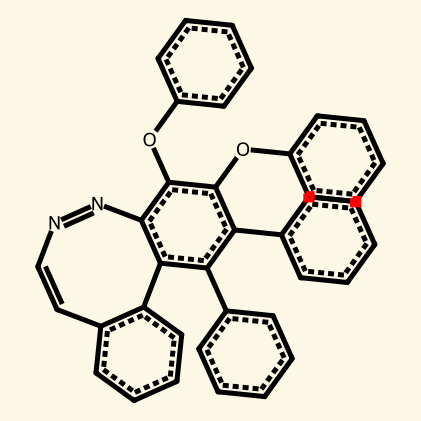 C1=Cc2ccccc2-c2c(c(Oc3ccccc3)c(Oc3ccccc3)c(-c3ccccc3)c2-c2ccccc2)N=N1